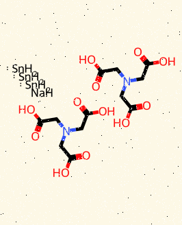 O=C(O)CN(CC(=O)O)CC(=O)O.O=C(O)CN(CC(=O)O)CC(=O)O.[NaH].[SnH2].[SnH2].[SnH2]